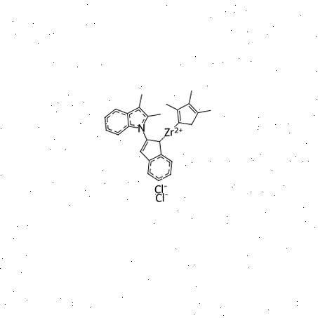 CC1=C(C)C(C)=[C]([Zr+2][CH]2C(n3c(C)c(C)c4ccccc43)=Cc3ccccc32)C1.[Cl-].[Cl-]